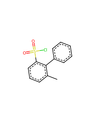 Cc1cccc(S(=O)(=O)Cl)c1-c1ccccc1